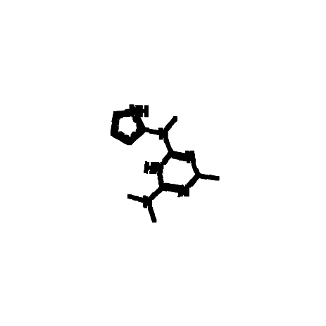 CC1N=C(N(C)C)NC(N(C)c2ccc[nH]2)=N1